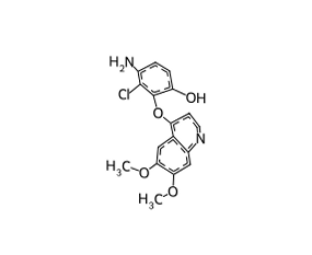 COc1cc2nccc(Oc3c(O)ccc(N)c3Cl)c2cc1OC